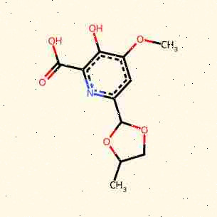 COc1cc(C2OCC(C)O2)nc(C(=O)O)c1O